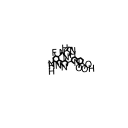 CNc1cc(F)c(C#N)c2c1[nH]c1ncc(-c3ccc4ccc(C(=O)O)c(=O)n4c3)c(N3CC[C@@H]4CCN(C)[C@@H]4C3)c12